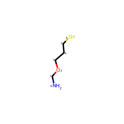 NCOCCCS